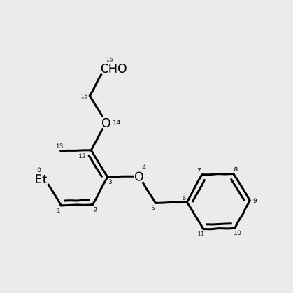 CC/C=C\C(OCc1ccccc1)=C(/C)OCC=O